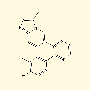 Cc1cc(-c2ncccc2-c2ccc3ncc(C)n3c2)ccc1F